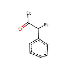 CCC(=O)C(CC)c1ccccc1